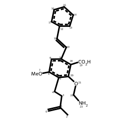 C=C(C)CCc1c(OC)cc(/C=C/c2ccccc2)c(C(=O)O)c1OCN